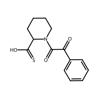 O=C(C(=O)N1CCCCC1C(O)=S)c1ccccc1